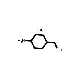 Cl.NC1CCC(CO)CC1